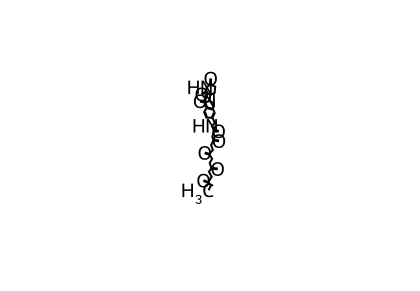 CCC(=O)CCC(=O)CCC(=O)CCC(=O)CC(=O)NCc1ccc2c(c1)CN(C1CCC(=O)NC1=O)C2=O